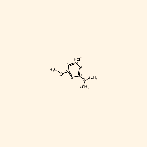 COc1cccc(N(C)C)c1.Cl